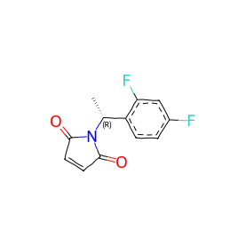 C[C@H](c1ccc(F)cc1F)N1C(=O)C=CC1=O